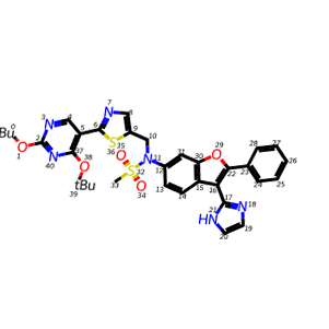 CC(C)(C)Oc1ncc(-c2ncc(CN(c3ccc4c(-c5ncc[nH]5)c(-c5ccccc5)oc4c3)S(C)(=O)=O)s2)c(OC(C)(C)C)n1